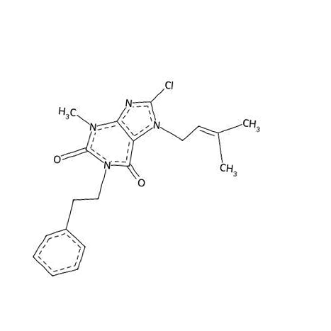 CC(C)=CCn1c(Cl)nc2c1c(=O)n(CCc1ccccc1)c(=O)n2C